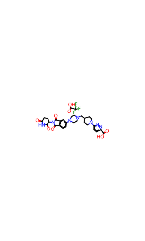 O=C(O)C(F)(F)F.O=C1CCC(N2C(=O)c3ccc(N4CCN(CC5CCN(c6ccc(C(=O)O)nn6)CC5)CC4)cc3C2=O)C(=O)N1